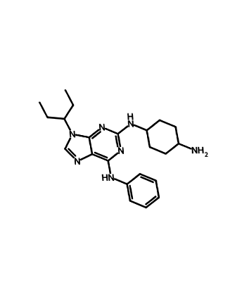 CCC(CC)n1cnc2c(Nc3ccccc3)nc(NC3CCC(N)CC3)nc21